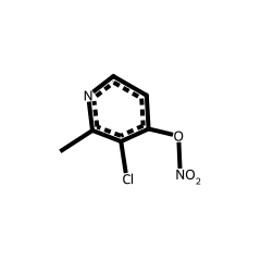 Cc1nccc(O[N+](=O)[O-])c1Cl